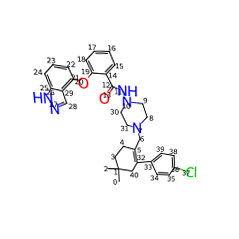 CC1(C)CCC(CN2CCN(NC(=O)c3ccccc3Oc3cccc4[nH]ncc34)CC2)=C(c2ccc(Cl)cc2)C1